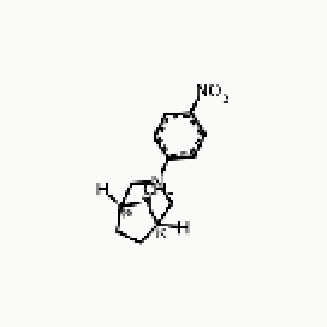 CN1[C@@H]2CC[C@H]1CN(c1ccc([N+](=O)[O-])cc1)C2